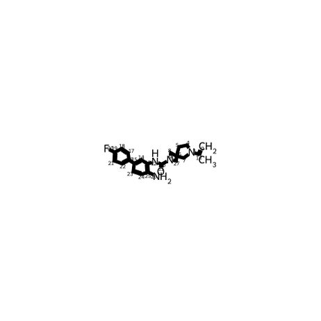 C=C(C)N1CCC2(C1)CN(C(=O)Nc1cc(-c3ccc(F)cc3)ccc1N)C2